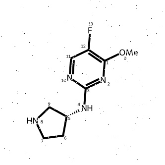 COc1nc(N[C@@H]2CCNC2)ncc1F